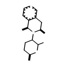 O=C1CCC(N2C(=O)Cc3cnccc3C2=O)C(O)N1